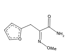 CON=C(Cc1ccco1)C(N)=O